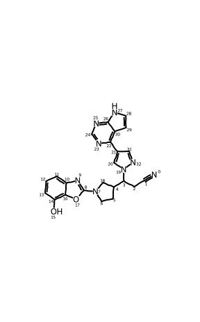 N#CCC(C1CCN(c2nc3cccc(O)c3o2)C1)n1cc(-c2ncnc3[nH]ccc23)cn1